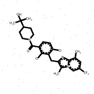 Cc1cc(C(F)(F)F)cn2c(C)c(Cc3c(Cl)ccc(C(=O)N4CCC(C(C)(C)O)CC4)c3Cl)nc12